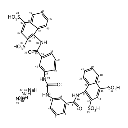 O=C(Nc1cccc(C(=O)Nc2c(S(=O)(=O)O)cc(S(=O)(=O)O)c3ccccc23)c1)Nc1cccc(C(=O)Nc2c(S(=O)(=O)O)cc(S(=O)(=O)O)c3ccccc23)c1.[NaH].[NaH].[NaH].[NaH]